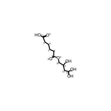 O=C(O)CCCCC(=O)OCC(O)CC(O)O